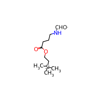 C[Si](C)(C)CCOC(=O)CCCN[C]=O